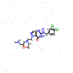 CN(C)CC1CN(CCn2ncc3nc(NCc4ccc(Cl)c(Cl)c4)[nH]c(=O)c32)CCO1